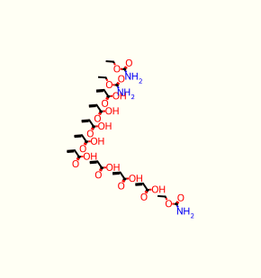 C=CC(=O)O.C=CC(=O)O.C=CC(=O)O.C=CC(=O)O.C=CC(=O)O.C=CC(=O)O.C=CC(=O)O.C=CC(=O)O.CCOC(N)=O.CCOC(N)=O.CCOC(N)=O